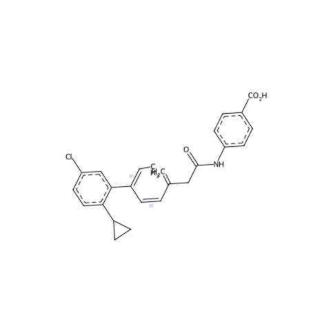 C=C(/C=C\C(=C/C)c1cc(Cl)ccc1C1CC1)CC(=O)Nc1ccc(C(=O)O)cc1